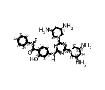 N[C@@H]1C[C@H](N)CN(c2nc(Nc3ccc(C(=O)N(F)c4ccccc4)c(O)c3)nc(N3C[C@H](N)C[C@H](N)C3)n2)C1